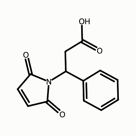 O=C(O)CC(c1ccccc1)N1C(=O)C=CC1=O